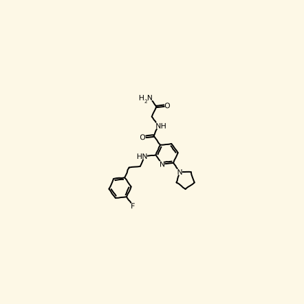 NC(=O)CNC(=O)c1ccc(N2CCCC2)nc1NCCc1cccc(F)c1